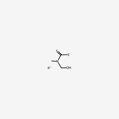 CN(CO)C(=S)[S-].[K+]